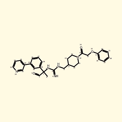 CC(C=O)(NC(=N)NCC1CCN(C(=O)COc2ccccc2)CC1)c1cccc(-c2cccnc2)c1